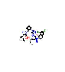 CCCCC(CO)NCc1ccccc1-n1cnc(NC(=O)C(CCC)N[C@H]2CCc3cc(F)cc(F)c3C2)c1